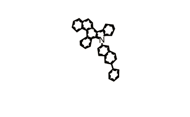 c1ccc(-c2ccc3cc(-n4c5ccccc5c5c6ccc7ccccc7c6c6ccccc6c54)ccc3c2)cc1